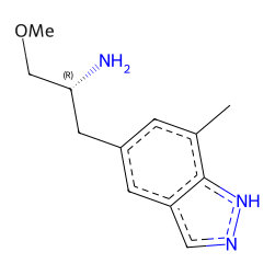 COC[C@H](N)Cc1cc(C)c2[nH]ncc2c1